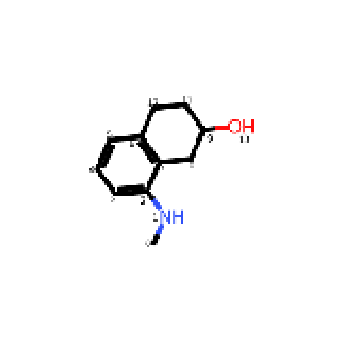 CNc1cccc2c1CC(O)CC2